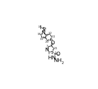 NNC(=O)c1cncc(Oc2ccc3c(ccn3SI)c2)c1